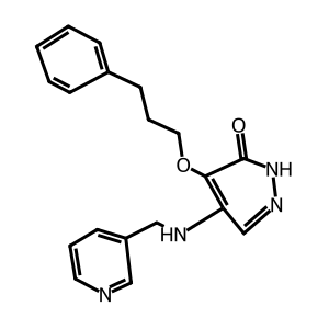 O=c1[nH]ncc(NCc2cccnc2)c1OCCCc1ccccc1